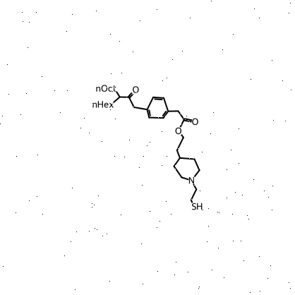 CCCCCCCCC(CCCCCC)C(=O)Cc1ccc(CC(=O)OCCC2CCN(CCS)CC2)cc1